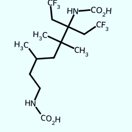 CC(CCNC(=O)O)CC(C)(C)C(CC(F)(F)F)(CC(F)(F)F)NC(=O)O